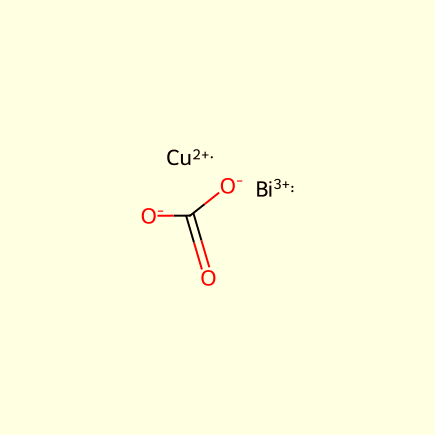 O=C([O-])[O-].[Bi+3].[Cu+2]